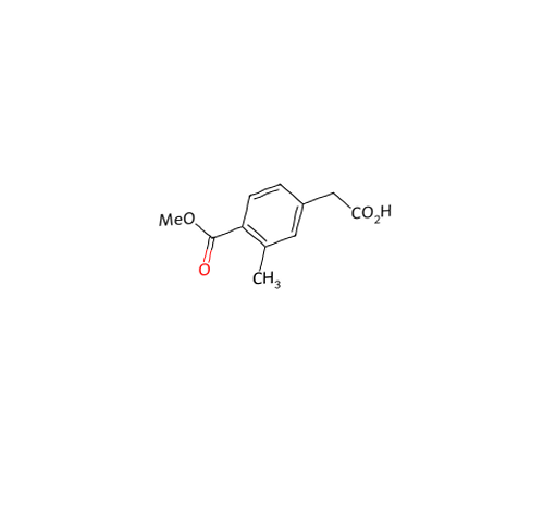 COC(=O)c1ccc(CC(=O)O)cc1C